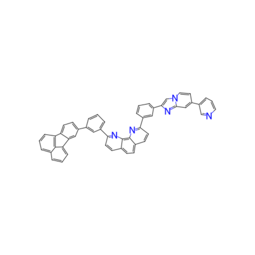 c1cncc(-c2ccn3cc(-c4cccc(-c5ccc6ccc7ccc(-c8cccc(-c9ccc%10c(c9)-c9cccc%11cccc-%10c9%11)c8)nc7c6n5)c4)nc3c2)c1